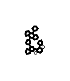 c1ccc(-c2c3ccccc3c(-c3cccc(-c4cc5c(oc6ccc7oc8ccccc8c7c65)c5ccccc45)c3)c3ccccc23)cc1